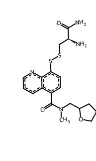 CN(CC1CCCO1)C(=O)c1ccc(SSC[C@H](N)C(N)=O)c2ncccc12